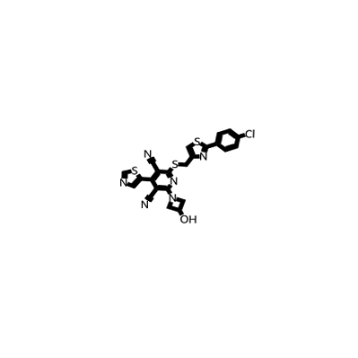 N#Cc1c(SCc2csc(-c3ccc(Cl)cc3)n2)nc(N2CC(O)C2)c(C#N)c1-c1cncs1